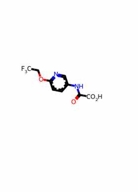 O=C(O)C(=O)Nc1ccc(OCC(F)(F)F)nc1